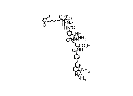 CC(C)[C@H](NC(=O)CCCCCN1C(=O)C=CC1=O)C(=O)N[C@@H](C)C(=O)Nc1ccc(C(=O)NCCC[C@H](NC(=O)c2ccc(CCc3ccc4nc(N)nc(N)c4c3F)cc2)C(=O)O)c(C(=N)/N=N\N)c1